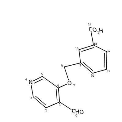 O=Cc1ccncc1OCc1cccc(C(=O)O)c1